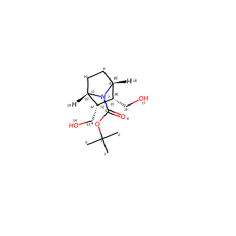 CC(C)(C)OC(=O)N1[C@@H]2CC[C@H]1[C@@H](CO)[C@H]2CO